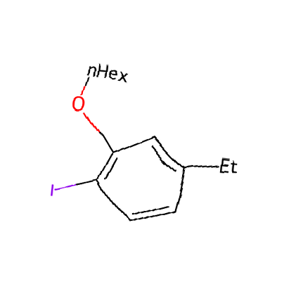 CCCCCCOc1cc(CC)ccc1I